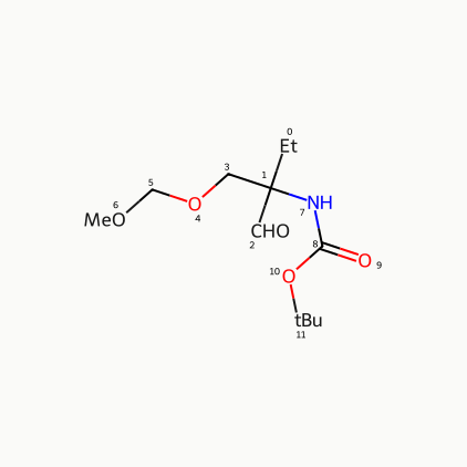 CCC(C=O)(COCOC)NC(=O)OC(C)(C)C